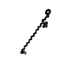 CCCCCCCCCCCCCCCCCCC(OCCOc1ccccc1)C(=O)O